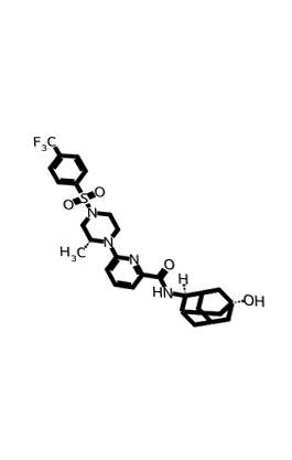 C[C@@H]1CN(S(=O)(=O)c2ccc(C(F)(F)F)cc2)CCN1c1cccc(C(=O)N[C@H]2C3CC4CC2C[C@](O)(C4)C3)n1